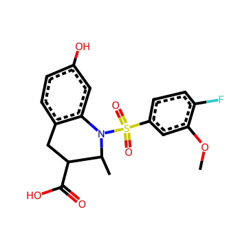 COc1cc(S(=O)(=O)N2c3cc(O)ccc3CC(C(=O)O)C2C)ccc1F